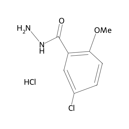 COc1ccc(Cl)cc1C(=O)NN.Cl